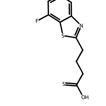 OC(=S)CCCc1nc2cccc(F)c2s1